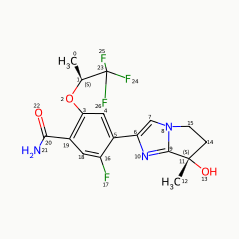 C[C@H](Oc1cc(-c2cn3c(n2)[C@@](C)(O)CC3)c(F)cc1C(N)=O)C(F)(F)F